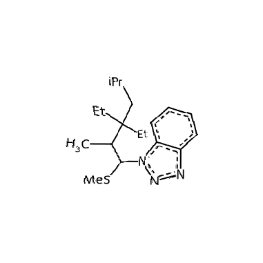 CCC(CC)(CC(C)C)C(C)C(SC)n1nnc2ccccc21